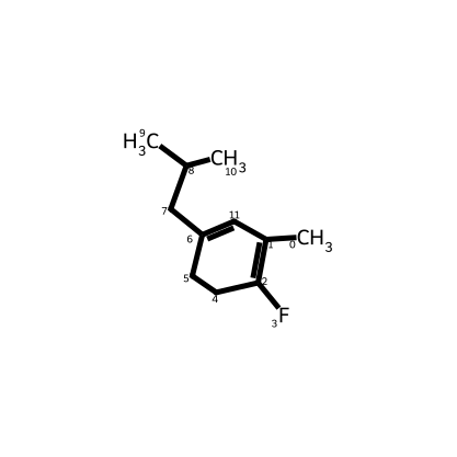 CC1=C(F)CCC(CC(C)C)=C1